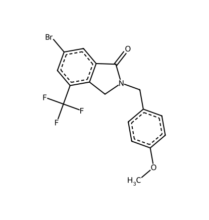 COc1ccc(CN2Cc3c(cc(Br)cc3C(F)(F)F)C2=O)cc1